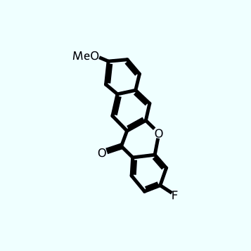 COc1ccc2cc3oc4cc(F)ccc4c(=O)c3cc2c1